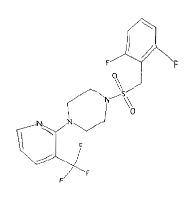 O=S(=O)(Cc1c(F)cccc1F)N1CCN(c2ncccc2C(F)(F)F)CC1